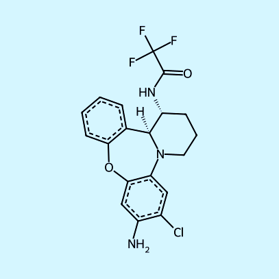 Nc1cc2c(cc1Cl)N1CCC[C@@H](NC(=O)C(F)(F)F)[C@@H]1c1ccccc1O2